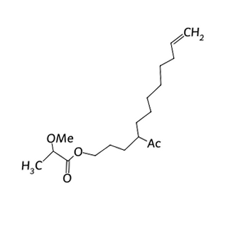 C=CCCCCCCC(CCCOC(=O)C(C)OC)C(C)=O